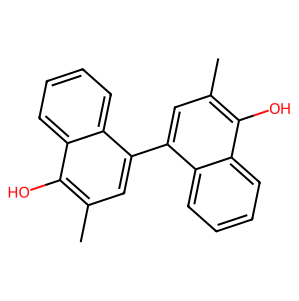 Cc1cc(-c2cc(C)c(O)c3ccccc23)c2ccccc2c1O